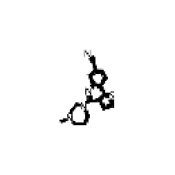 CN1CCCN(c2nc3cc(C#N)ccc3c3sccc23)CC1